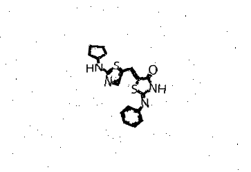 O=C1N/C(=N/c2ccccc2)S/C1=C\c1cnc(NC2CCCC2)s1